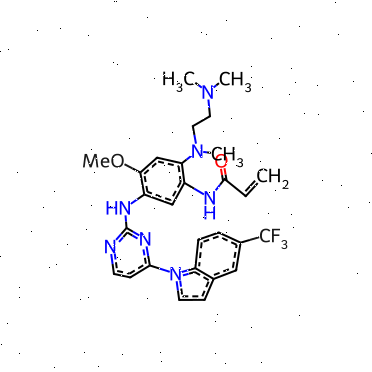 C=CC(=O)Nc1cc(Nc2nccc(-n3ccc4cc(C(F)(F)F)ccc43)n2)c(OC)cc1N(C)CCN(C)C